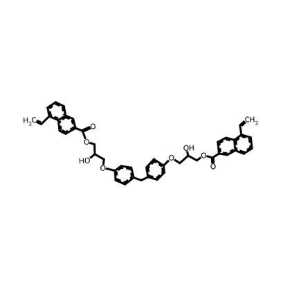 C=Cc1cccc2cc(C(=O)OCC(O)COc3ccc(Cc4ccc(OCC(O)COC(=O)c5ccc6c(C=C)cccc6c5)cc4)cc3)ccc12